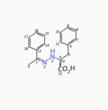 CC(=NN[C@@H](Cc1ccccc1)C(=O)O)c1ccccc1